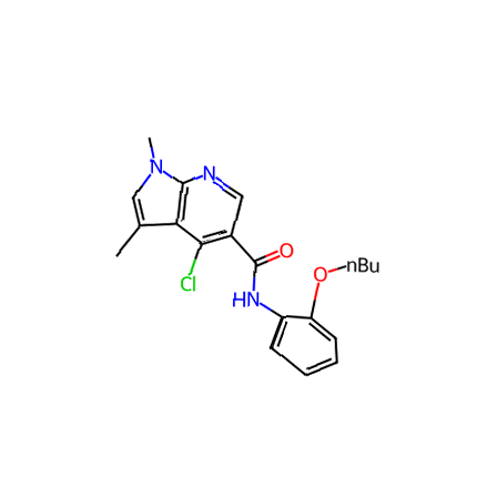 CCCCOc1ccccc1NC(=O)c1cnc2c(c(C)cn2C)c1Cl